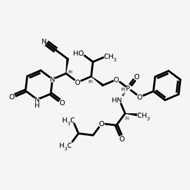 CC(C)COC(=O)[C@H](C)N[P@@](=O)(OC[C@@H](O[C@H](CC#N)n1ccc(=O)[nH]c1=O)C(C)O)Oc1ccccc1